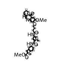 COC(=O)c1cc2cc(NC(=O)c3cc(NC(=O)CCCOc4cc5c(cc4OC)C(=O)N4CCCC[C@H]4C=N5)cn3C)ccc2s1